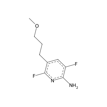 COCCCc1cc(F)c(N)nc1F